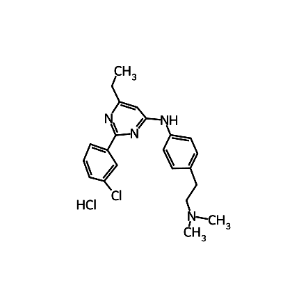 CCc1cc(Nc2ccc(CCN(C)C)cc2)nc(-c2cccc(Cl)c2)n1.Cl